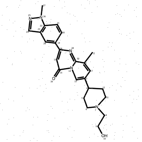 Cc1cc(C2CCN(CCO)CC2)cn2c(=O)cc(-c3ccc4c(cnn4C)c3)nc12